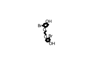 Oc1ccc(OCCCOc2ccc(O)cc2Br)c(Br)c1